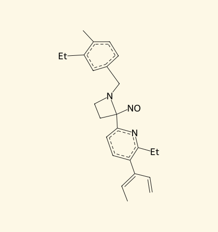 C=C/C(=C\C)c1ccc(C2(N=O)CCN2Cc2ccc(C)c(CC)c2)nc1CC